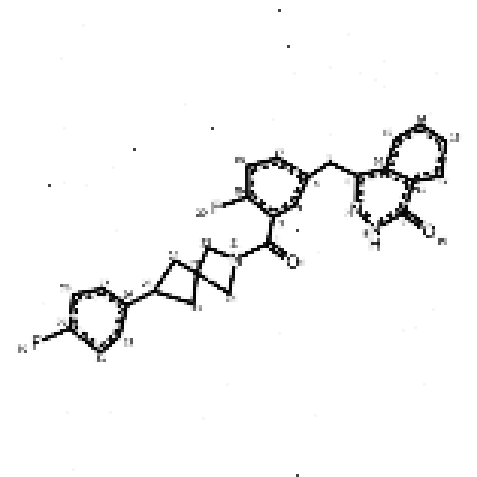 O=C(c1cc(Cc2n[nH]c(=O)c3ccccc23)ccc1F)N1CC2(CC(c3ccc(F)cc3)C2)C1